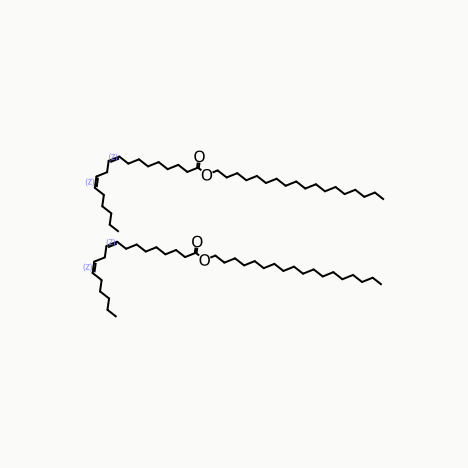 CCCCC/C=C\C/C=C\CCCCCCCC(=O)OCCCCCCCCCCCCCCCCCC.CCCCC/C=C\C/C=C\CCCCCCCC(=O)OCCCCCCCCCCCCCCCCCC